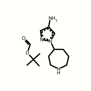 CC(C)(C)OC=O.Nc1cnn(C2CCCNCC2)c1